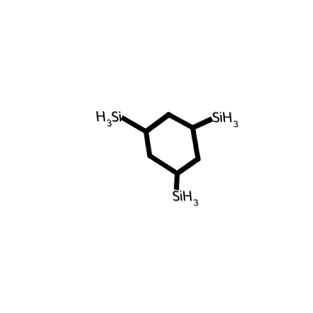 [SiH3]C1CC([SiH3])CC([SiH3])C1